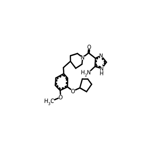 COc1ccc(CC2CCN(C(=O)c3nc[nH]c3N)CC2)cc1OC1CCCC1